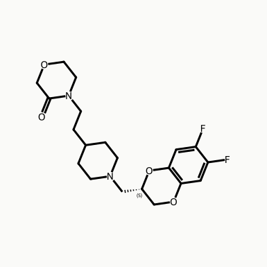 O=C1COCCN1CCC1CCN(C[C@H]2COc3cc(F)c(F)cc3O2)CC1